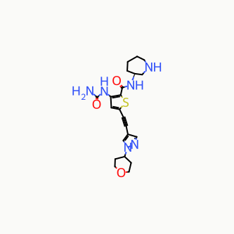 NC(=O)Nc1cc(C#Cc2cnn(C3CCOCC3)c2)sc1C(=O)N[C@H]1CCCCNC1